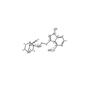 CCn1nc(CCN[C@@H]2CN3CCC2CC3)c2c(C(=O)O)cccc21